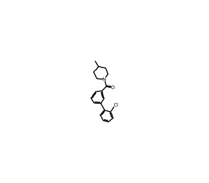 CC1CCN(C(=O)c2cccc(-c3ccccc3Cl)c2)CC1